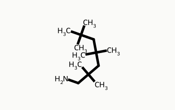 CC(C)(C)CC(C)(C)CC(C)(C)CN